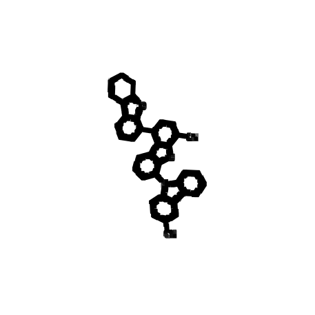 N#Cc1ccc2c(c1)c1ccccc1n2-c1cccc2c1oc1c(C#N)ccc(-c3cccc4c5c(oc34)CCC=C5)c12